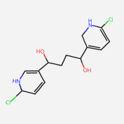 OC(CCC(O)C1=CC=C(Cl)NC1)C1=CNC(Cl)C=C1